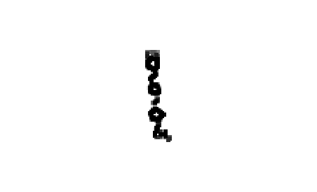 C=CC[C@H]1CC[C@H](CC[C@H]2CC[C@H](CCc3ccc(C#N)cc3)CC2)CC1